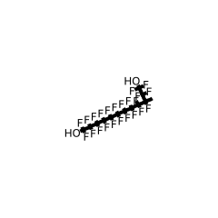 CC(F)(C(F)(F)C(O)(F)F)C(F)(F)C(F)(F)C(F)(F)C(F)(F)C(F)(F)C(F)(F)C(F)(F)C(F)(F)C(O)(F)F